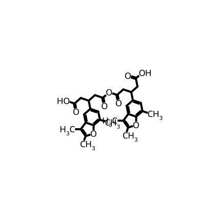 Cc1oc2c(C)cc(C(CC(=O)O)CC(=O)OC(=O)CC(CC(=O)O)c3cc(C)c4oc(C)c(C)c4c3)cc2c1C